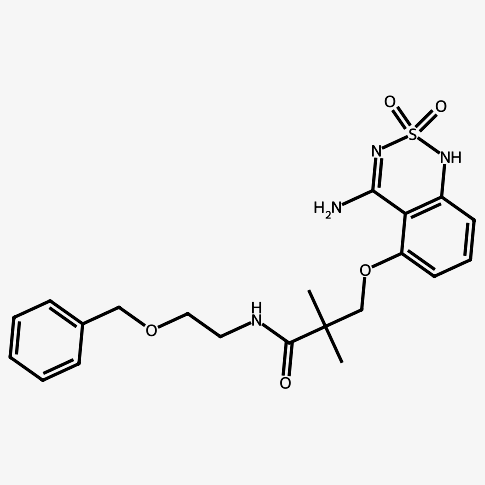 CC(C)(COc1cccc2c1C(N)=NS(=O)(=O)N2)C(=O)NCCOCc1ccccc1